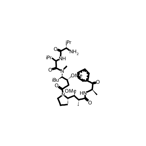 CC[C@H](C)[C@@H]([C@@H](CC(=O)N1CCC[C@H]1[C@H](OC)[C@@H](C)C(=O)N[C@H](C)C(=O)c1ccccc1)OC)N(C)C(=O)C(NC(=O)[C@@H](N)C(C)C)C(C)C